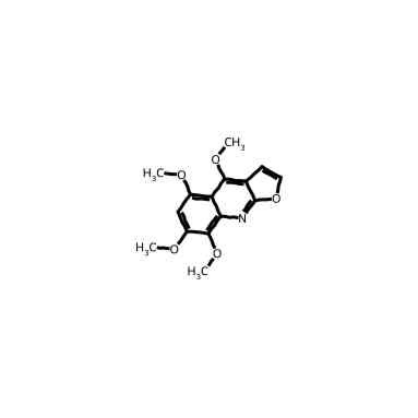 COc1cc(OC)c2c(OC)c3ccoc3nc2c1OC